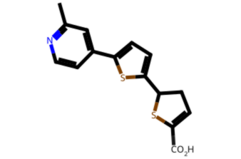 Cc1cc(-c2ccc(C3CC=C(C(=O)O)S3)s2)ccn1